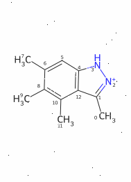 CC1=[N+]Nc2cc(C)c(C)c(C)c21